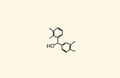 Cc1ccc(C(O)c2cccc(C)c2C)cc1C